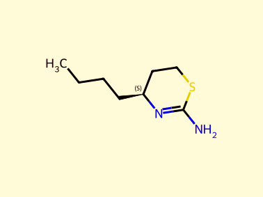 CCCC[C@H]1CCSC(N)=N1